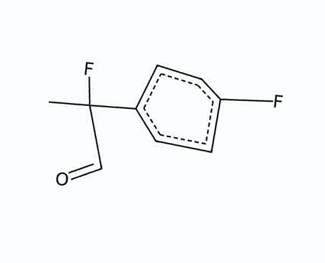 CC(F)(C=O)c1ccc(F)cc1